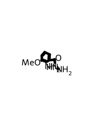 COc1cccc(C(=O)NN)c1N